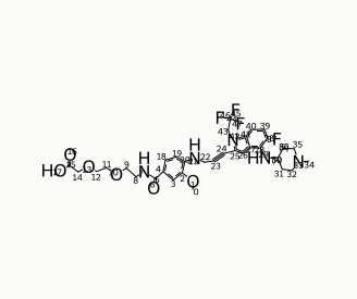 COc1cc(C(=O)NCCOCCOCC(=O)O)ccc1NCC#Cc1cc2c(N[C@@H]3CCN(C)C[C@@H]3F)cccc2n1CC(F)(F)F